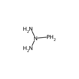 NN(N)P